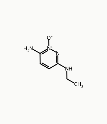 CCNc1ccc(N)[n+]([O-])n1